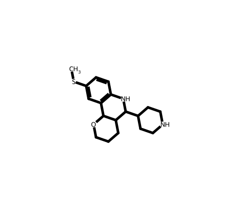 CSc1ccc2c(c1)C1OCCCC1C(C1CCNCC1)N2